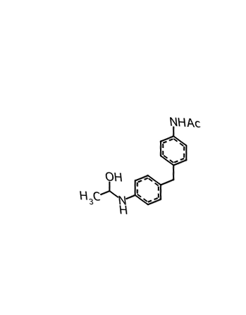 CC(=O)Nc1ccc(Cc2ccc(NC(C)O)cc2)cc1